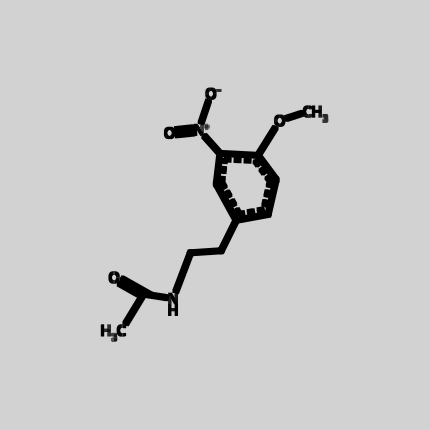 COc1ccc(CCNC(C)=O)cc1[N+](=O)[O-]